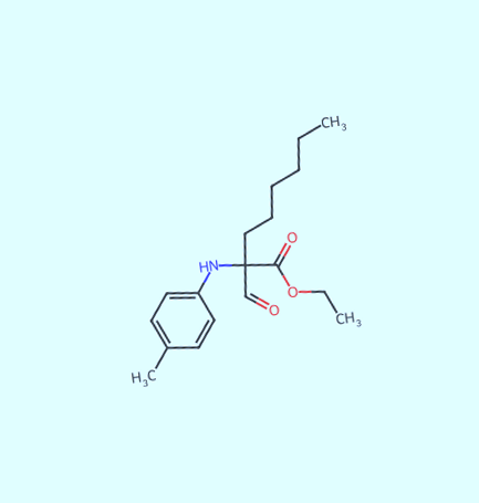 CCCCCCC(C=O)(Nc1ccc(C)cc1)C(=O)OCC